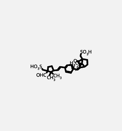 CC1(C)C(/C=C/c2ccc(/C=C3\C(=O)C4(CS(=O)(=O)O)CCC3C4(C)C)cc2)CCC1(C=O)CS(=O)(=O)O